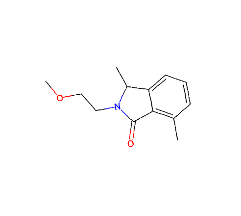 COCCN1C(=O)c2c(C)cccc2C1C